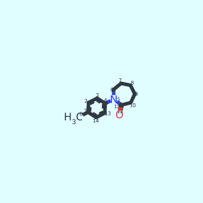 Cc1ccc(N2CCCCCC2=O)cc1